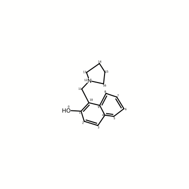 Oc1ccc2ccccc2c1CN1CCCC1